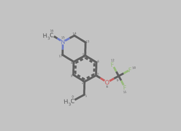 CCc1cc2c(cc1OC(F)(F)F)CCN(C)C2